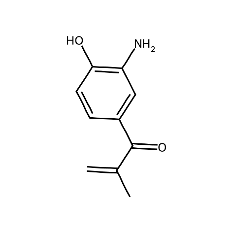 C=C(C)C(=O)c1ccc(O)c(N)c1